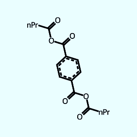 CCCC(=O)OC(=O)c1ccc(C(=O)OC(=O)CCC)cc1